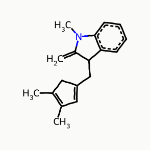 C=C1C(CC2=CC(C)=C(C)C2)c2ccccc2N1C